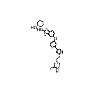 O=C1CN(CCn2cc(-c3cc(Oc4ccc5nc(N[C@@H]6CCCC[C@H]6O)sc5c4)ccn3)cn2)CCN1